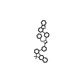 CC1(C)c2cc3ccccc3cc2-c2c(-c3cccc(C4=CC(c5cccc(-c6cccc7c6sc6ccccc67)c5)N4Cc4ccccc4)c3)cccc21